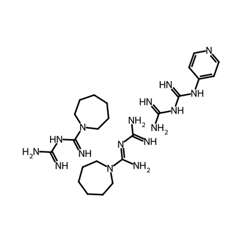 N=C(N)N=C(N)N1CCCCCC1.N=C(N)NC(=N)N1CCCCCC1.N=C(N)NC(=N)Nc1ccncc1